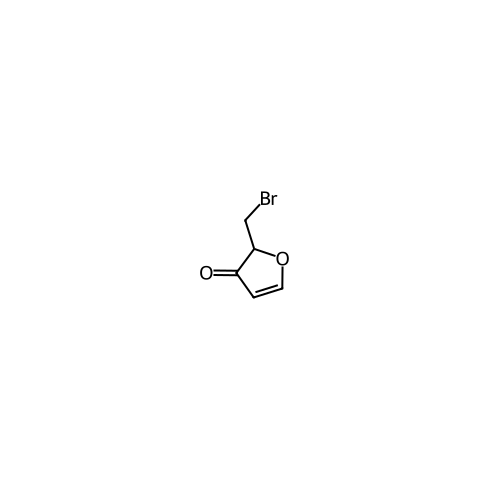 O=C1C=COC1CBr